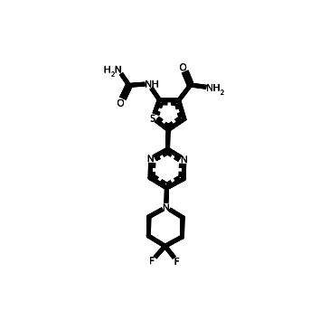 NC(=O)Nc1sc(-c2ncc(N3CCC(F)(F)CC3)cn2)cc1C(N)=O